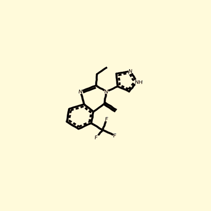 C=C1c2c(cccc2C(F)(F)F)N=C(CC)N1c1cn[nH]c1